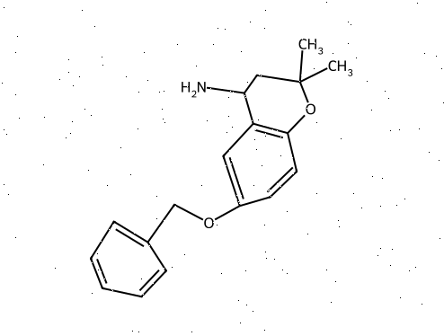 CC1(C)CC(N)c2cc(OCc3ccccc3)ccc2O1